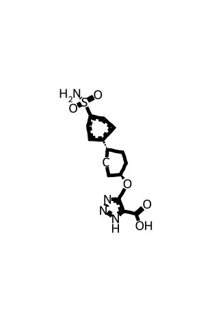 NS(=O)(=O)c1ccc([C@H]2CC[C@H](Oc3nn[nH]c3C(=O)O)CC2)cc1